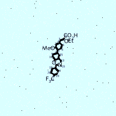 CCO/C(=C\c1ccc(-c2cccc(CN(C)C(=O)c3ccc(C(F)(F)F)cc3)c2)c(OC)c1)C(=O)O